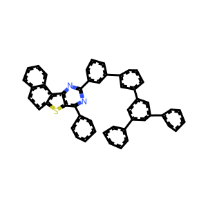 c1ccc(-c2cc(-c3ccccc3)cc(-c3cccc(-c4cccc(-c5nc(-c6ccccc6)c6sc7ccc8ccccc8c7c6n5)c4)c3)c2)cc1